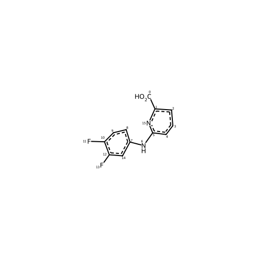 O=C(O)c1cccc(Nc2ccc(F)c(F)c2)n1